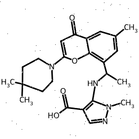 Cc1cc(C(C)Nc2c(C(=O)O)cnn2C)c2oc(N3CCC(C)(C)CC3)cc(=O)c2c1